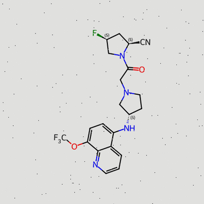 N#C[C@@H]1C[C@H](F)CN1C(=O)CN1CC[C@H](Nc2ccc(OC(F)(F)F)c3ncccc23)C1